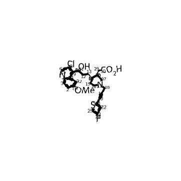 COc1ccc2ncc(Cl)c([C@@H](O)CC[C@@H]3CCN(CC#Cc4cc(F)cs4)C[C@@H]3CC(=O)O)c2c1